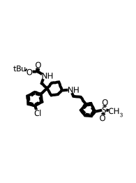 CC(C)(C)OC(=O)NCC1(c2cccc(Cl)c2)CCC(NCCc2cccc(S(C)(=O)=O)c2)CC1